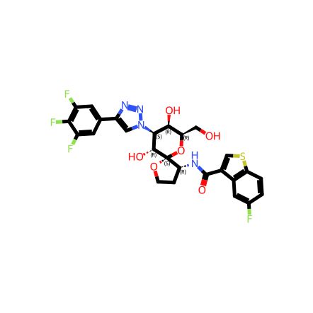 O=C(N[C@@H]1CCO[C@]12O[C@H](CO)[C@H](O)[C@H](n1cc(-c3cc(F)c(F)c(F)c3)nn1)[C@H]2O)c1csc2ccc(F)cc12